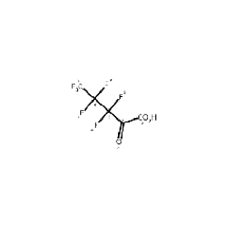 O=C(O)C(=O)C(F)(F)C(F)(F)C(F)(F)F